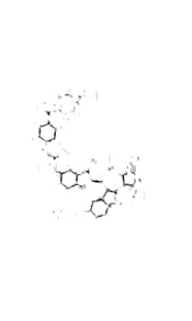 COc1ccc2[nH]c(-c3c(C)nn(C)c3C)c(/C=C3\Oc4ccc(NC(=O)Nc5ccc(C(=O)N6CCN(C)CC6)cc5)cc4C3=O)c2c1